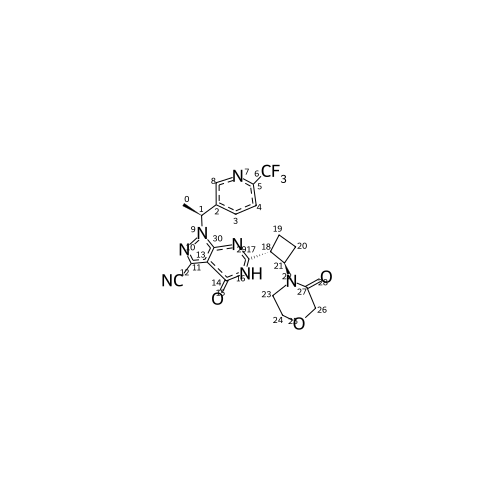 C[C@@H](c1ccc(C(F)(F)F)nc1)n1nc(C#N)c2c(=O)[nH]c([C@@H]3CC[C@H]3N3CCOCC3=O)nc21